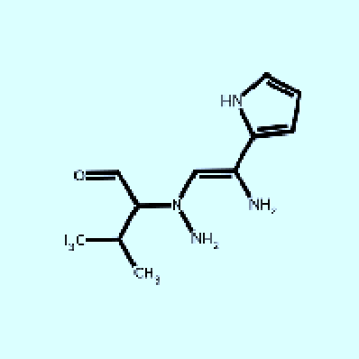 CC(C)C(C=O)N(N)/C=C(\N)c1ccc[nH]1